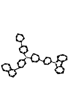 c1ccc(-c2ccc(N(c3ccc(-c4ccc(-n5c6ccccc6c6ccccc65)cc4)cc3)c3ccc(-c4cccc5ccccc45)cc3)cc2)cc1